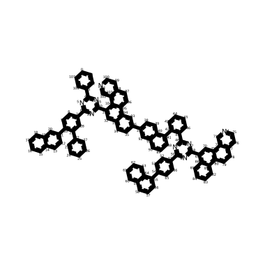 c1ccc(-c2nc(-c3ccc(-c4ccc5ccccc5c4)c(-c4ccccc4)c3)nc(-c3cc4ccc(-c5ccc6c(-c7ccccc7-c7nc(-c8ccc(-c9cccc%10ccccc9%10)cc8)nc(-c8cc9c%10cnccc%10ccc9c9ccccc89)n7)cccc6c5)cc4c4ccc5ccncc5c34)n2)cc1